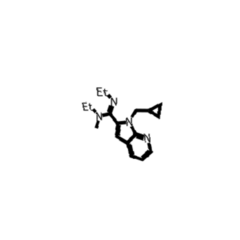 CC/N=C(/c1cc2cccnc2n1CC1CC1)N(C)CC